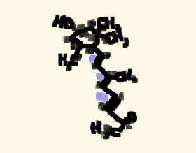 CC(=O)/C=C/C=C(C)/C=C/[C@H]1C(C)=C[C@H](O)CC1(C)C